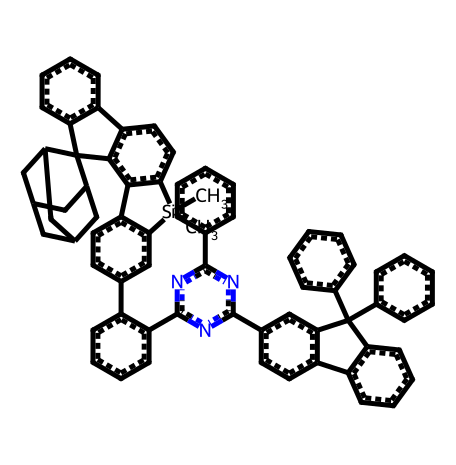 C[Si]1(C)c2cc(-c3ccccc3-c3nc(-c4ccccc4)nc(-c4ccc5c(c4)C(c4ccccc4)(c4ccccc4)c4ccccc4-5)n3)ccc2-c2c1ccc1c2C2(c3ccccc3-1)C1CC3CC(C1)CC2C3